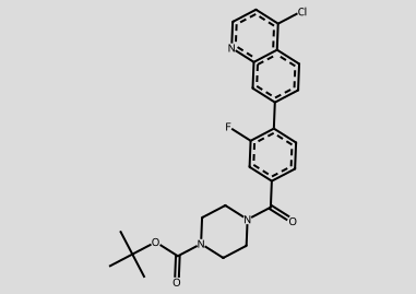 CC(C)(C)OC(=O)N1CCN(C(=O)c2ccc(-c3ccc4c(Cl)ccnc4c3)c(F)c2)CC1